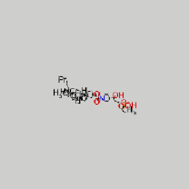 CC(C)CCC[C@@H](C)[C@H]1CC[C@H]2[C@@H]3CC=C4C[C@@H](OC(=O)N5CCC(C(O)CCOP(C)(=O)O)CC5)CC[C@]4(C)[C@H]3CC[C@]12C